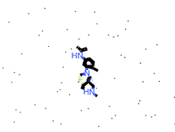 C=C(C)Nc1ccc(C)c(N(C)/C=C(/CNC)C(=C)F)c1